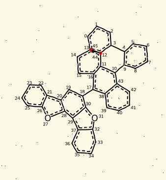 c1ccc(-c2ccccc2-c2c3ccccc3c(-c3cc4c5ccccc5oc4c4c3oc3ccccc34)c3ccccc23)cc1